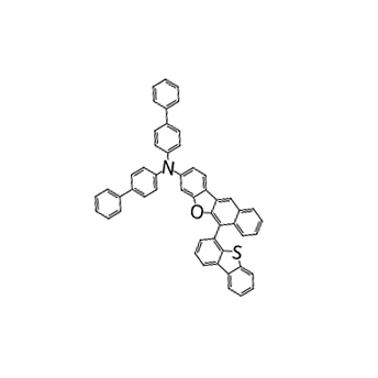 c1ccc(-c2ccc(N(c3ccc(-c4ccccc4)cc3)c3ccc4c(c3)oc3c(-c5cccc6c5sc5ccccc56)c5ccccc5cc34)cc2)cc1